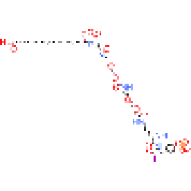 CN[C@@H](CCCCNC(=O)COCCOCCNC(=O)COCCOCCNC(=O)CC[C@H](NC(=O)CCCCCCCCCCCCCCCCC(=O)O)C(=O)O)C(=O)N[C@@H](Cc1ccc(OP(=O)(O)O)cc1)C(=O)I